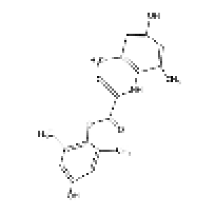 Cc1cc(O)cc(C)c1NC(=O)C(=O)Oc1c(C)cc(O)cc1C